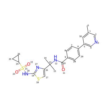 Cc1cncc(-c2ccc(C(=O)NC(C)(C)c3csc(NS(=O)(=O)C4CC4)n3)cc2)c1